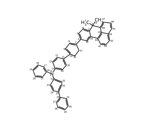 CC1(C)c2ccc(C3=CC=C(c4ccc(N(c5ccccc5)c5ccc(-c6ccccc6)cc5)cc4)CC3)cc2-c2cccc3cccc1c23